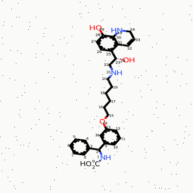 O=C(O)NC(c1ccccc1)c1cccc(OCCCCCCNC[C@@H](O)c2ccc(O)c3c2C=CCN3)c1